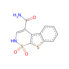 NC(=O)C1=CNS(=O)(=O)c2sc3ccccc3c21